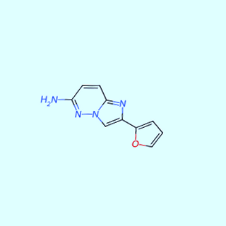 Nc1ccc2nc(-c3ccco3)cn2n1